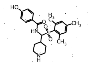 Cc1cc(C)c(S(=O)(=O)C(NC(=O)c2ccc(O)cc2)C2CCNCC2)c(C)c1